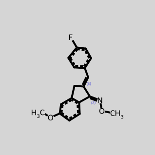 CO/N=C1/C(=C/c2ccc(F)cc2)Cc2cc(OC)ccc21